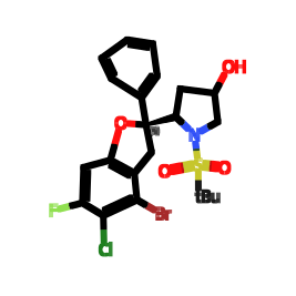 CC(C)(C)S(=O)(=O)N1CC(O)CC1[C@@]1(c2ccccc2)Cc2c(cc(F)c(Cl)c2Br)O1